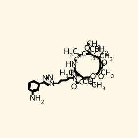 B[C@@H]1[C@@H](C)C(=O)[C@](C)(F)C(=O)O[C@H](CC)[C@@]2(C)OC(=O)N(CCCCn3cc(-c4cccc(N)c4)nn3)[C@@H]2[C@@H](C)NC[C@H](C)C[C@@]1(C)OC